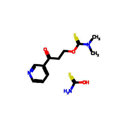 CN(C)C(=S)OCCC(=O)c1cccnc1.NC(O)=S